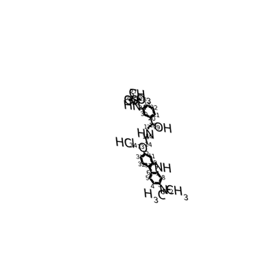 CN(C)c1ccc2c(c1)[nH]c1cc(OCCNCC(O)c3cccc(NS(C)(=O)=O)c3)ccc12.Cl